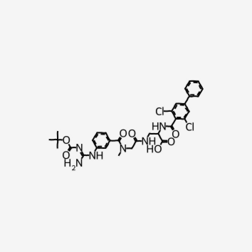 CN(CC(=O)NCC(NC(=O)c1c(Cl)cc(-c2ccccc2)cc1Cl)C(=O)O)C(=O)c1cccc(NC(N)=NC(=O)OC(C)(C)C)c1